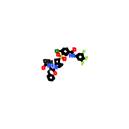 CC(C)COC(=O)N[C@@H](Cc1ccccc1)C(=O)N1C2CC(S(=O)(=O)c3cc(C(=O)Nc4cc(F)c(F)c(F)c4)ccc3Cl)C23CC13